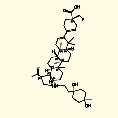 C=C(C)[C@@H]1CC[C@]2(NCC[C@]3(O)CC[C@](C)(O)CC3)CC[C@]3(C)[C@H](CC[C@@H]4[C@@]5(C)CC=C(C6=CC[C@@](CF)(C(=O)O)CC6)C(C)(C)[C@@H]5CC[C@]43C)[C@@H]12